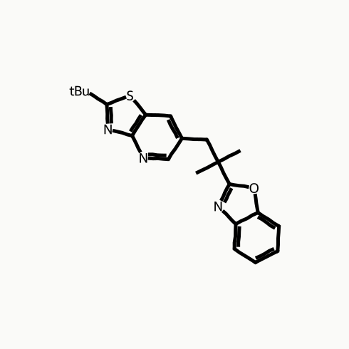 CC(C)(C)c1nc2ncc(CC(C)(C)c3nc4ccccc4o3)cc2s1